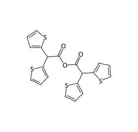 O=C(OC(=O)C(c1cccs1)c1cccs1)C(c1cccs1)c1cccs1